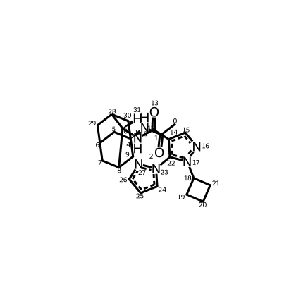 CC(=O)N[C@]12CC3CC(C1)[C@@H](NC(=O)c1cnn(C4CCC4)c1-n1cccn1)C(C3)C2